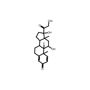 CC(=O)OCC(=O)C1(O)CCC2C3CCC4=CC(=O)C=CC4(C)C3(F)C(O)CC21C